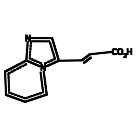 O=C(O)C=Cc1cnc2ccccn12